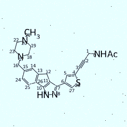 CC(=O)NCC#Cc1cc(-c2n[nH]c3c2Cc2cc(CN4CCN(C)CC4)ccc2-3)cs1